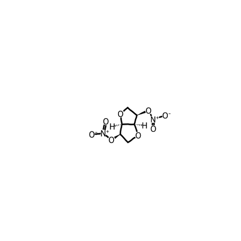 O=[N+]([O-])O[C@@H]1CO[C@H]2[C@@H]1OC[C@H]2O[N+](=O)[O-]